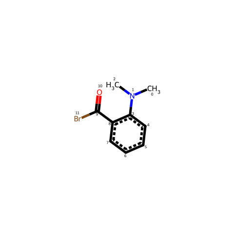 CN(C)c1ccccc1C(=O)Br